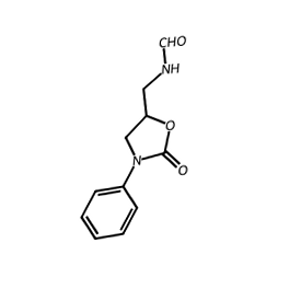 O=CNCC1CN(c2ccccc2)C(=O)O1